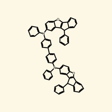 c1ccc(C2c3ccccc3-c3oc4ccc(N(c5ccccc5)c5ccc(-c6ccc(N(c7ccccc7)c7ccc8oc9c(c8c7)C(c7ccccc7)c7ccccc7-9)cc6)cc5)cc4c32)cc1